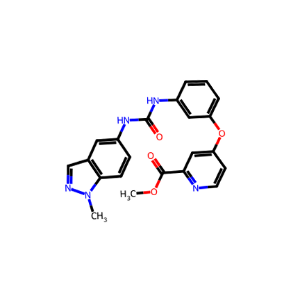 COC(=O)c1cc(Oc2cccc(NC(=O)Nc3ccc4c(cnn4C)c3)c2)ccn1